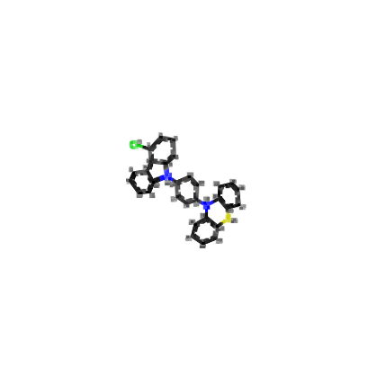 Clc1cccc2c1c1ccccc1n2-c1ccc(N2c3ccccc3Sc3ccccc32)cc1